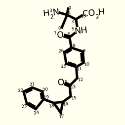 CC(C)(N)C(NC(=O)c1ccc(CC(=O)CC2CC2c2ccccc2)cc1)C(=O)O